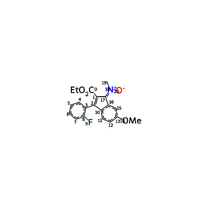 CCOC(=O)C1=C(c2ccccc2F)c2ccc(OC)cc2/C1=[N+](/C)[O-]